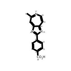 Cc1cc2nc(-c3ccc(C(=O)O)cc3)nc-2ccn1